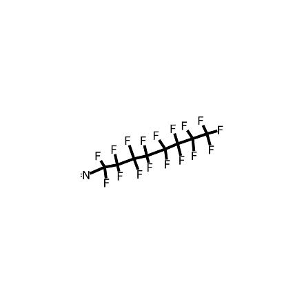 [N]C(F)(F)C(F)(F)C(F)(F)C(F)(F)C(F)(F)C(F)(F)C(F)(F)C(F)(F)F